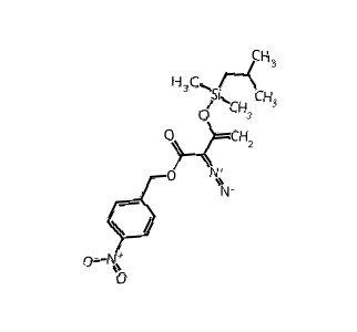 C=C(O[Si](C)(C)CC(C)C)C(=[N+]=[N-])C(=O)OCc1ccc([N+](=O)[O-])cc1